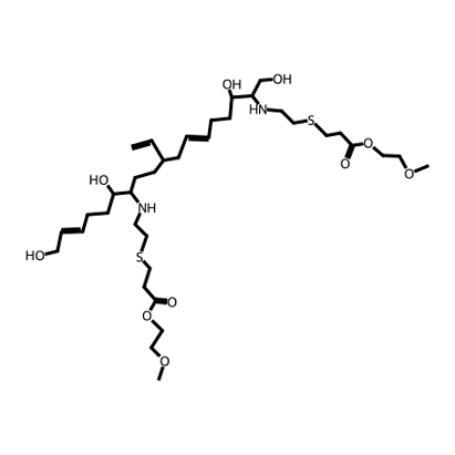 C=CC(C/C=C/CCC(O)C(CO)NCCSCCC(=O)OCCOC)CCC(NCCSCCC(=O)OCCOC)C(O)CC/C=C/CO